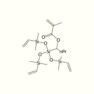 C=C[Si](C)(C)O[Si](O[Si](C)(C)C=C)(O[Si](C)(C)C=C)C(CCC)OC(=O)C(=C)C